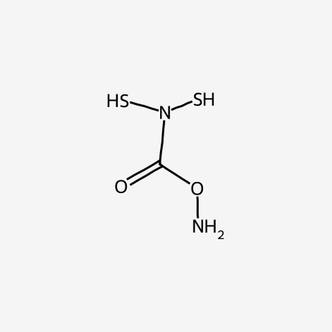 NOC(=O)N(S)S